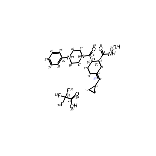 O=C(NO)[C@H]1C/C(=C/C2CC2)CC[C@@H]1C(=O)N1CCN(c2ccccc2)CC1.O=C(O)C(F)(F)F